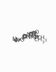 CCC(CC)N1C(=O)Cc2cnc(Nc3cccc(OCCn4ccnc4)c3)nc21